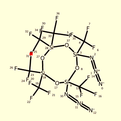 [N-]=[N+]=N[Si]1(C(F)(F)F)O[Si](N=[N+]=[N-])(C(F)(F)F)O[Si](C(F)(F)F)(C(F)(F)F)O[Si](C(F)(F)F)(C(F)(F)F)O1